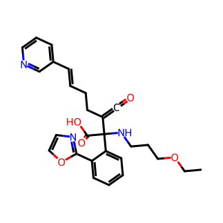 CCOCCCNC(C(=O)O)(C(=C=O)CCC=Cc1cccnc1)c1ccccc1-c1ncco1